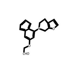 O=CCOc1cc(N2CCc3ccoc3C2)c2ccccc2c1